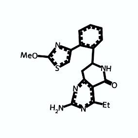 CCc1nc(N)nc2c1C(=O)NC(c1ccccc1-c1csc(OC)n1)C2